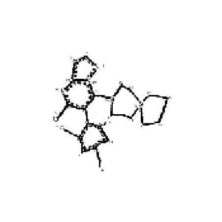 Fc1cc(F)c(-c2c(Cl)nc3ncnn3c2N2CC[Si]3(CCCC3)CC2)c(F)c1